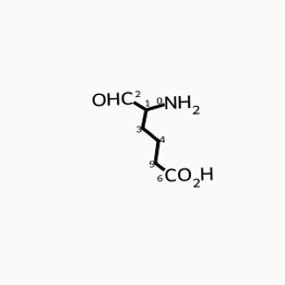 NC(C=O)CCCC(=O)O